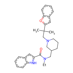 CCN(CC1CCCN(CC(C)(C)c2cc3ccccc3o2)C1)C(=O)c1cc2ccccc2[nH]1